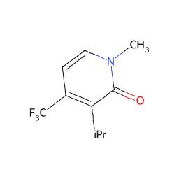 CC(C)c1c(C(F)(F)F)ccn(C)c1=O